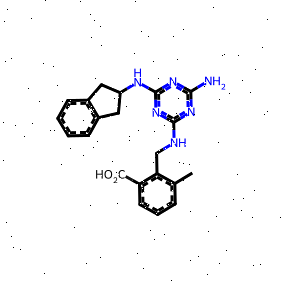 Cc1cccc(C(=O)O)c1CNc1nc(N)nc(NC2Cc3ccccc3C2)n1